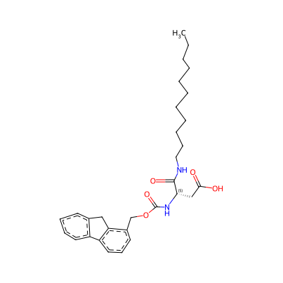 CCCCCCCCCCCNC(=O)[C@H](CC(=O)O)NC(=O)OCc1cccc2c1Cc1ccccc1-2